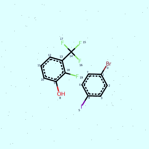 Brc1ccc(I)cc1.Oc1cccc(C(F)(F)F)c1F